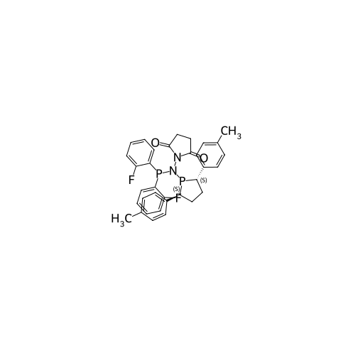 Cc1ccc([C@@H]2CC[C@@H](c3ccc(C)cc3)P2N(N2C(=O)CCC2=O)P(c2ccccc2F)c2ccccc2F)cc1